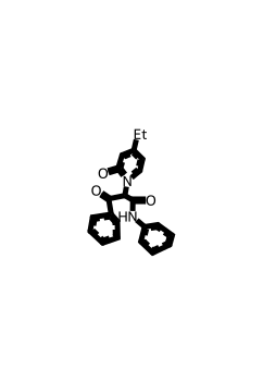 CCc1ccn(C(C(=O)Nc2ccccc2)C(=O)c2ccccc2)c(=O)c1